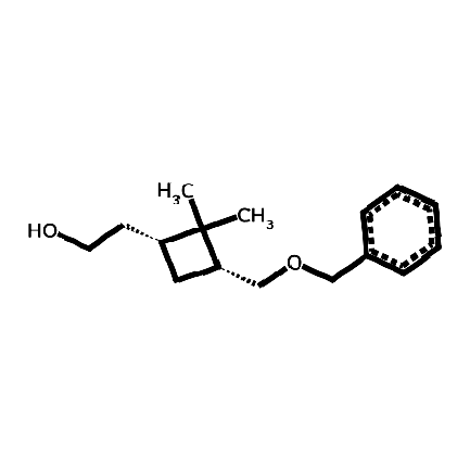 CC1(C)[C@H](COCc2ccccc2)C[C@@H]1CCO